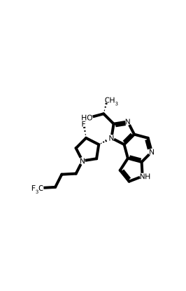 C[C@@H](O)c1nc2cnc3[nH]ccc3c2n1[C@@H]1CN(CCCC(F)(F)F)C[C@@H]1F